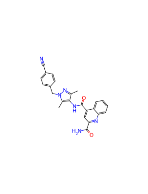 Cc1nn(Cc2ccc(C#N)cc2)c(C)c1NC(=O)c1cc(C(N)=O)nc2ccccc12